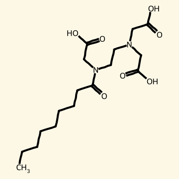 CCCCCCCCC(=O)N(CCN(CC(=O)O)CC(=O)O)CC(=O)O